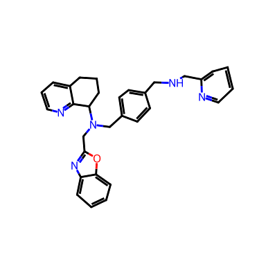 c1ccc(CNCc2ccc(CN(Cc3nc4ccccc4o3)C3CCCc4cccnc43)cc2)nc1